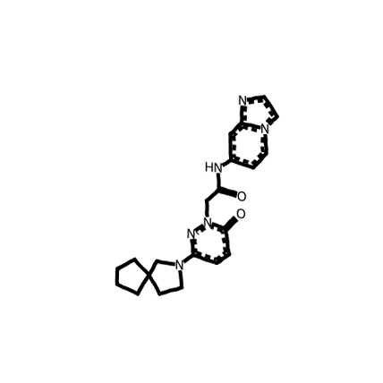 O=C(Cn1nc(N2CCC3(CCCC3)C2)ccc1=O)Nc1ccn2ccnc2c1